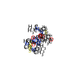 CCN(CC)C(=S)SSC(=S)N(CC)CC.COc1ccc([C@@H]2Sc3ccccc3N(CCN(C)C)C(=O)[C@@H]2OC(C)=O)cc1.Cn1c(=O)c2c(ncn2C)n(C)c1=O